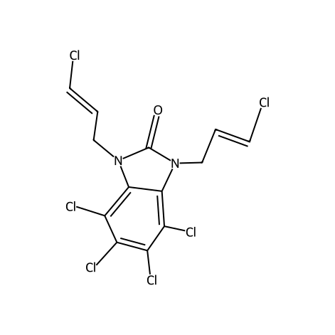 O=c1n(CC=CCl)c2c(Cl)c(Cl)c(Cl)c(Cl)c2n1CC=CCl